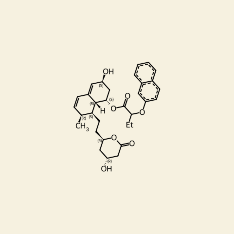 CCC(Oc1ccc2ccccc2c1)C(=O)O[C@H]1C[C@H](O)C=C2C=C[C@H](C)[C@H](CC[C@@H]3C[C@@H](O)CC(=O)O3)[C@H]21